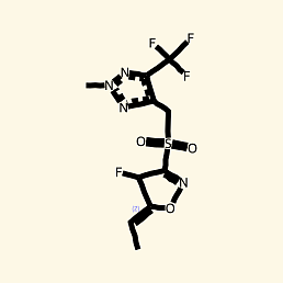 C/C=C1\ON=C(S(=O)(=O)Cc2nn(C)nc2C(F)(F)F)C1F